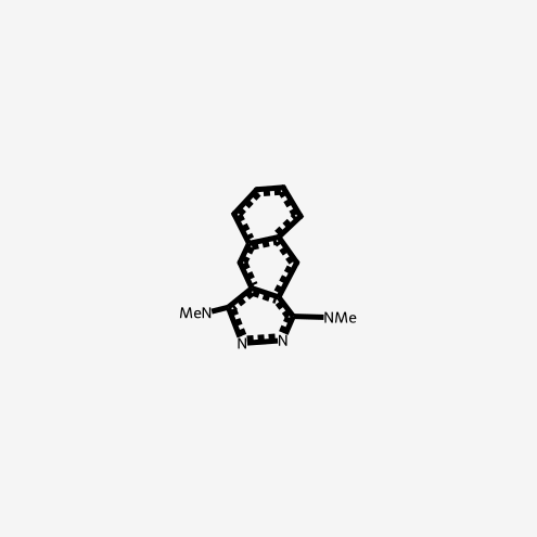 CNc1nnc(NC)c2cc3ccccc3cc12